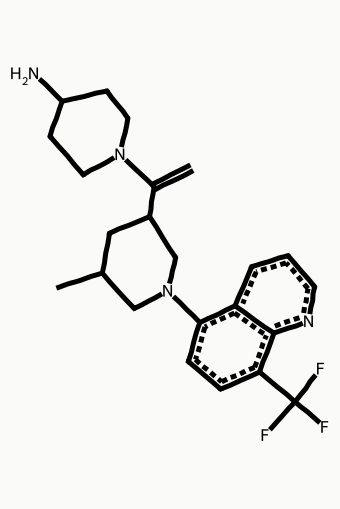 C=C(C1CC(C)CN(c2ccc(C(F)(F)F)c3ncccc23)C1)N1CCC(N)CC1